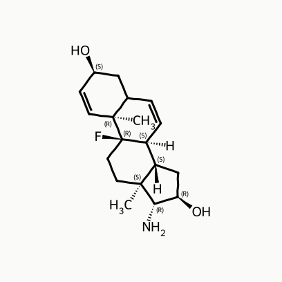 C[C@]12CC[C@@]3(F)[C@@H](C=CC4C[C@H](O)C=C[C@@]43C)[C@@H]1C[C@@H](O)[C@@H]2N